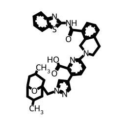 CC1CC2CC(C)CC(Cn3cc(-c4ccc(N5CCc6cccc(C(=O)Nc7nc8ccccc8s7)c6C5)nc4C(=O)O)cn3)(C1)O2